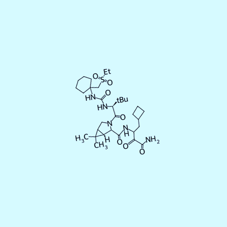 CCS(=O)(=O)CC1(NC(=O)N[C@H](C(=O)N2CC3[C@H](C2C(=O)NC(CC2CCC2)C(=O)C(N)=O)C3(C)C)C(C)(C)C)CCCCC1